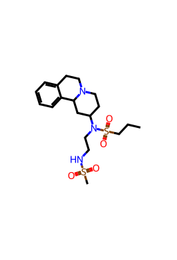 CCCS(=O)(=O)N(CCNS(C)(=O)=O)C1CCN2CCc3ccccc3C2C1